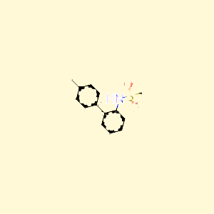 [CH2]c1ccc(-c2ccccc2NS(C)(=O)=O)cc1